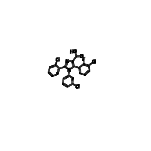 O=C(O)c1nc(-c2ccccc2Cl)n(-c2cccc(Cl)c2)c1-c1cccc(Cl)c1F